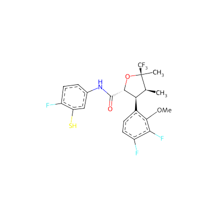 COc1c([C@H]2[C@H](C(=O)Nc3ccc(F)c(S)c3)O[C@@](C)(C(F)(F)F)[C@H]2C)ccc(F)c1F